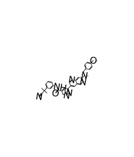 COc1ccc(CN(C)c2cc3ncc(-c4cc(C(=O)Nc5cccc(C(C)(C)C#N)c5)cnn4)cc3cn2)cc1